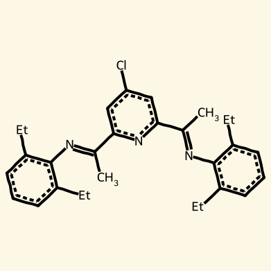 CCc1cccc(CC)c1/N=C(\C)c1cc(Cl)cc(/C(C)=N/c2c(CC)cccc2CC)n1